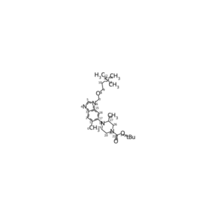 Cc1cc2ncn(COCC[Si](C)(C)C)c2cc1N1CCN(C(=O)OC(C)(C)C)CC1C